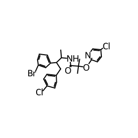 CC(NC(=O)C(C)(C)Oc1ccc(Cl)cn1)C(Cc1ccc(Cl)cc1)c1cccc(Br)c1